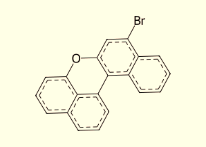 Brc1cc2c(c3ccccc13)-c1cccc3cccc(c13)O2